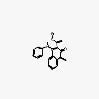 C=C(OCC)C1=C(N(C)c2ccccc2)c2ccccc2C(=C)C1=O